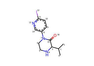 CC(C)C1NCCN(c2ccc(I)nc2)C1=O